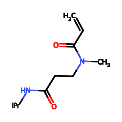 C=CC(=O)N(C)CCC(=O)NC(C)C